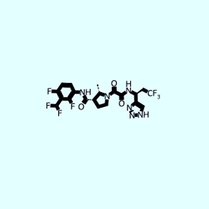 C[C@H]1[C@@H](C(=O)Nc2ccc(F)c(C(F)F)c2F)CCN1C(=O)C(=O)N[C@@H](CC(F)(F)F)c1c[nH]nn1